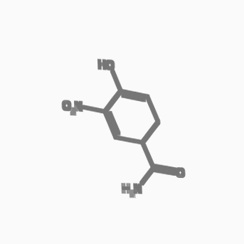 NC(=O)C1C=C([N+](=O)[O-])C(O)=CC1